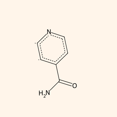 NC(=O)c1[c][c]ncc1